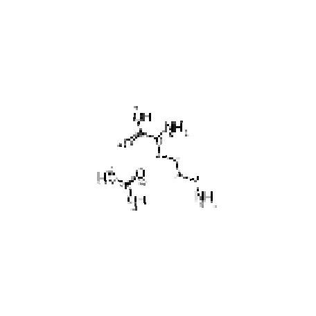 NCCCCC(N)C(=O)O.O=C(O)O